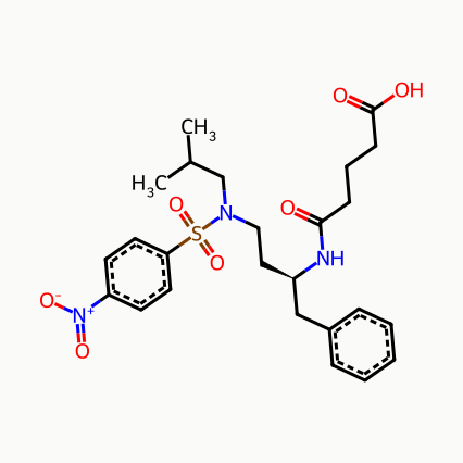 CC(C)CN(CC[C@H](Cc1ccccc1)NC(=O)CCCC(=O)O)S(=O)(=O)c1ccc([N+](=O)[O-])cc1